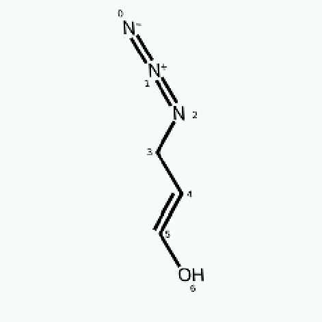 [N-]=[N+]=NCC=CO